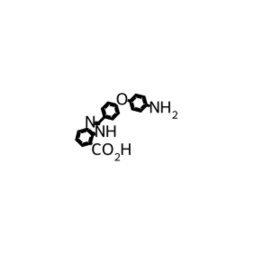 Nc1ccc(Oc2ccc(-c3nc4cccc(C(=O)O)c4[nH]3)cc2)cc1